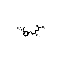 C[C@@H](CCC(N)=O)COc1cccc(S(C)(=O)=O)c1